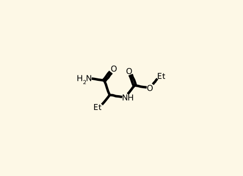 CCOC(=O)NC(CC)C(N)=O